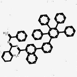 C=C(/N=C(\N=C(/C)c1ccc(-c2cccc(-c3cc(-c4ccccc4)c(-c4ccccc4)c(-c4ccccc4)c3-c3ccccc3)c2)c2ccccc12)C1=CCCC=C1)c1ccccc1